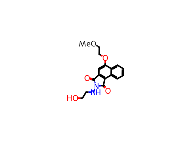 COCCOc1cc2c(c3ccccc13)C(=O)N(NCCO)C2=O